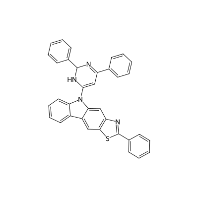 C1=C(n2c3ccccc3c3cc4sc(-c5ccccc5)nc4cc32)NC(c2ccccc2)N=C1c1ccccc1